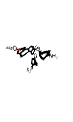 COc1ccc2c(c1)CCC1C2CCC2(C)C1CC(Oc1ccc(N)cc1)C2Oc1ccc(N)cc1